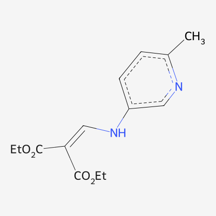 CCOC(=O)C(=CNc1ccc(C)nc1)C(=O)OCC